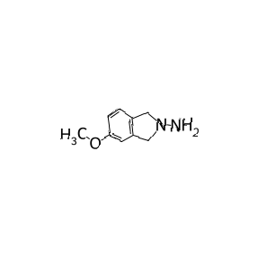 COc1ccc2c(c1)CN(N)C2